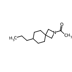 CCCC1CCC2(CC1)CN(C(C)=O)C2